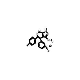 Cc1ccc(-c2nnc3[nH]nc(N)c3c2-c2cccc([N+](=O)[O-])c2)cc1